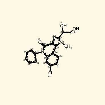 Cn1c(C(O)CO)nc2c(=O)n(-c3ccccc3)c3cc(Cl)ccc3c21